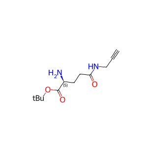 C#CCNC(=O)CC[C@H](N)C(=O)OC(C)(C)C